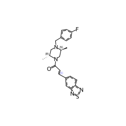 C[C@@H]1CN(Cc2ccc(F)cc2)[C@@H](C)CN1C(=O)/C=C/c1ccc2nsnc2c1